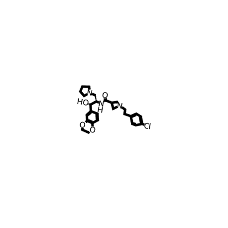 O=C(N[C@H](CN1CCCC1)[C@H](O)c1ccc2c(c1)OCCO2)C1CN(CCc2ccc(Cl)cc2)C1